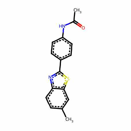 CC(=O)Nc1ccc(-c2nc3ccc(C)cc3s2)cc1